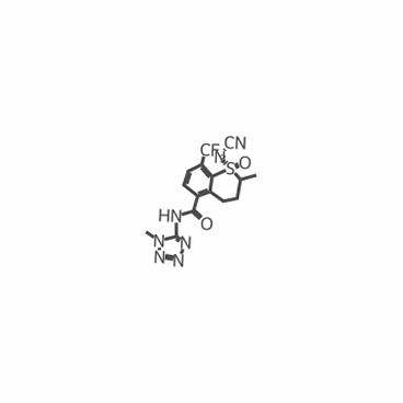 CC1CCc2c(C(=O)Nc3nnnn3C)ccc(C(F)(F)F)c2S1(=O)=NC#N